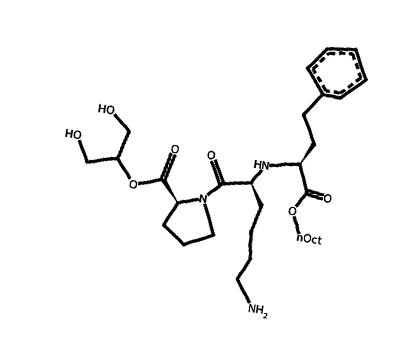 CCCCCCCCOC(=O)[C@H](CCc1ccccc1)N[C@@H](CCCCN)C(=O)N1CCC[C@H]1C(=O)OC(CO)CO